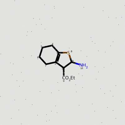 CCOC(=O)C1C2=C(CCCC2)SC1N